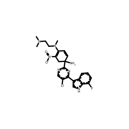 CN(C)CCN(C)C1=C([N+](=O)[O-])CC(N)(c2ncc(Cl)c(-c3c[nH]c4c(F)cccc34)n2)C=C1